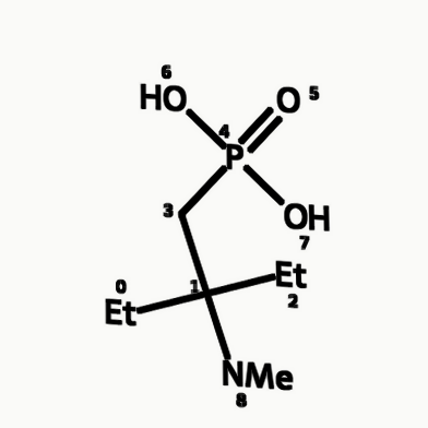 CCC(CC)(CP(=O)(O)O)NC